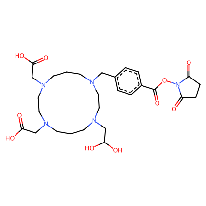 O=C(O)CN1CCCN(Cc2ccc(C(=O)ON3C(=O)CCC3=O)cc2)CCN(CC(O)O)CCCN(CC(=O)O)CC1